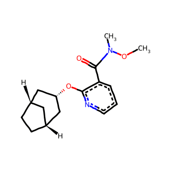 CON(C)C(=O)c1cccnc1O[C@@H]1C[C@@H]2CC[C@@H](C2)C1